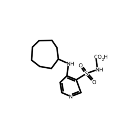 O=C(O)NS(=O)(=O)c1cnccc1NC1CCCCCCC1